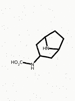 O=C(O)NC1CC2CCC(C1)N2